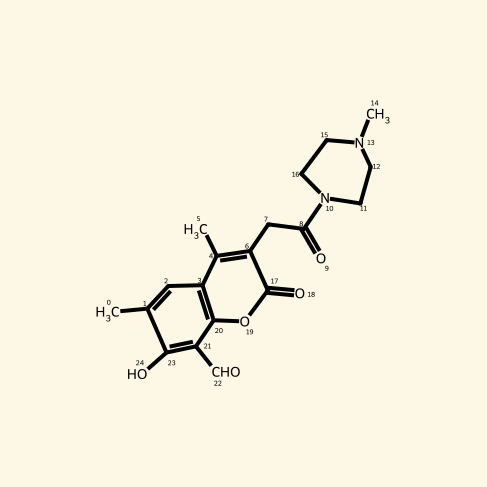 Cc1cc2c(C)c(CC(=O)N3CCN(C)CC3)c(=O)oc2c(C=O)c1O